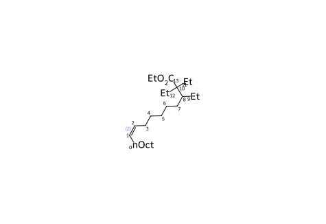 CCCCCCCC/C=C\CCCCCC(CC)C(CC)(CC)C(=O)OCC